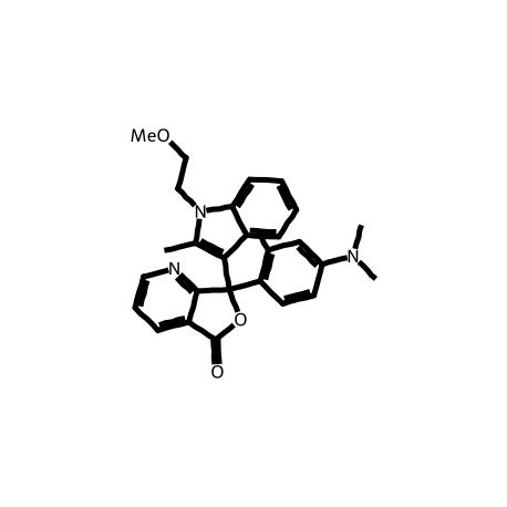 COCCn1c(C)c(C2(c3ccc(N(C)C)cc3C)OC(=O)c3cccnc32)c2ccccc21